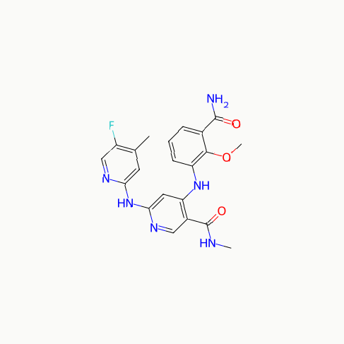 CNC(=O)c1cnc(Nc2cc(C)c(F)cn2)cc1Nc1cccc(C(N)=O)c1OC